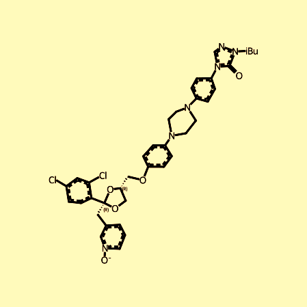 CCC(C)n1ncn(-c2ccc(N3CCN(c4ccc(OC[C@@H]5CO[C@@](Cc6ccc[n+]([O-])c6)(c6ccc(Cl)cc6Cl)O5)cc4)CC3)cc2)c1=O